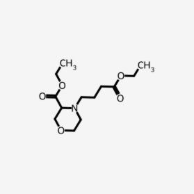 CCOC(=O)CCCN1CCOCC1C(=O)OCC